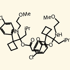 COCCNC(CC(C)C)(OC(=O)/C=C\C(=O)OC(CC(C)C)(NCCOC)C1(c2ccc(Cl)cc2)CCC1)C1(c2ccc(Cl)cc2)CCC1